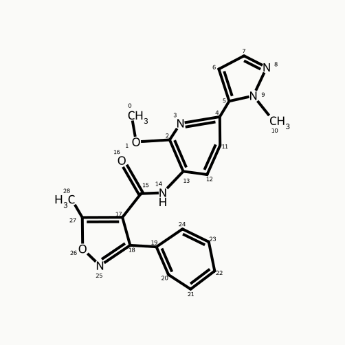 COc1nc(-c2ccnn2C)ccc1NC(=O)c1c(-c2ccccc2)noc1C